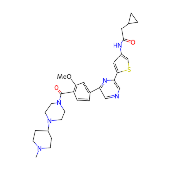 COc1cc(-c2cncc(-c3cc(NC(=O)CC4CC4)cs3)n2)ccc1C(=O)N1CCN(C2CCN(C)CC2)CC1